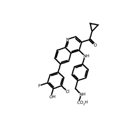 O=C(O)NCc1ccc(Nc2c(C(=O)C3CC3)cnc3ccc(-c4cc(F)c(O)c(Cl)c4)cc23)cc1